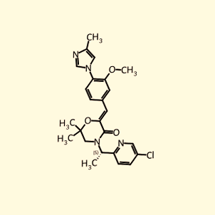 COc1cc(C=C2OC(C)(C)CN([C@@H](C)c3ccc(Cl)cn3)C2=O)ccc1-n1cnc(C)c1